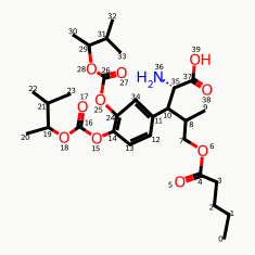 CCCCC(=O)OCC(C)C(c1ccc(OC(=O)OC(C)C(C)C)c(OC(=O)OC(C)C(C)C)c1)[C@H](N)C(=O)O